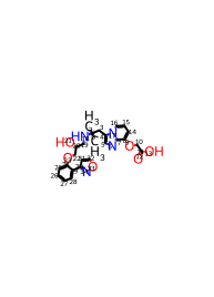 CC(C)(Cc1cnc2c(OCC(=O)O)cccn12)NC[C@H](O)COc1ccccc1-c1ccon1